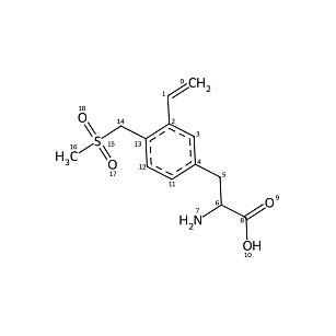 C=Cc1cc(CC(N)C(=O)O)ccc1CS(C)(=O)=O